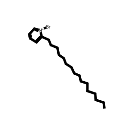 CCCCCCCCCCCCCCCCc1cccc[n+]1Br